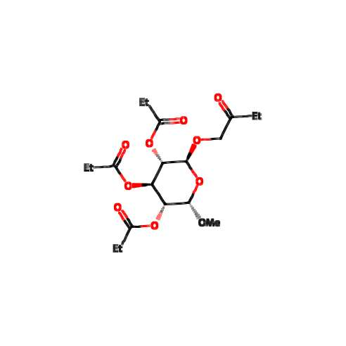 CCC(=O)CO[C@H]1O[C@H](OC)[C@H](OC(=O)CC)[C@@H](OC(=O)CC)[C@@H]1OC(=O)CC